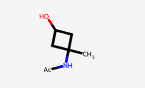 CC(=O)NC1(C)CC(O)C1